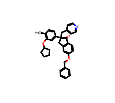 COc1ccc(C2(Cc3ccncc3)Cc3cc(OCc4ccccc4)ccc3C2=O)cc1OC1CCCC1